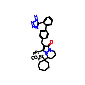 CCCc1c(Cc2ccc(-c3ccccc3-c3nnn[nH]3)cc2)c(=O)n2n1C(C1(C(=O)OCC)CCCCCC1)CCC2